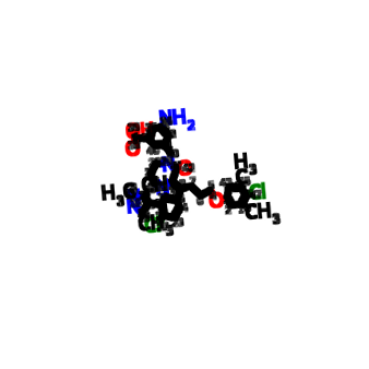 Cc1cc(OCCCc2c3n(c4c(-c5c(C)nn(C)c5C)c(Cl)ccc24)CCCN(Cc2cc(N)cc(C(=O)O)c2)C3=O)cc(C)c1Cl